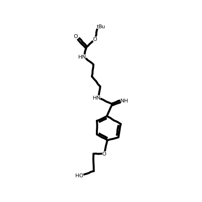 CC(C)(C)OC(=O)NCCCNC(=N)c1ccc(OCCO)cc1